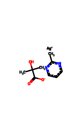 CC(C)(O)C(=O)[O-].Cc1ncccn1.[Ag+]